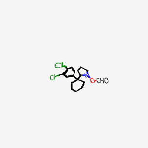 O=CON1CCCC1C1(c2ccc(Cl)c(Cl)c2)CCCCC1